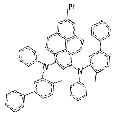 Cc1ccc(-c2ccccc2)cc1N(c1ccccc1)c1cc(N(c2ccccc2)c2cc(-c3ccccc3)ccc2C)c2ccc3cc(C(C)C)cc4ccc1c2c43